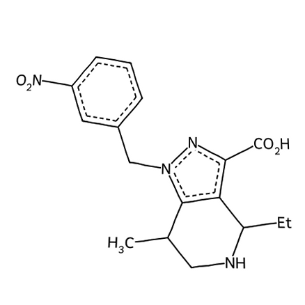 CCC1NCC(C)c2c1c(C(=O)O)nn2Cc1cccc([N+](=O)[O-])c1